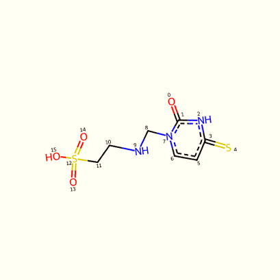 O=c1[nH]c(=S)ccn1CNCCS(=O)(=O)O